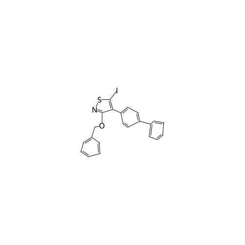 Ic1snc(OCc2ccccc2)c1-c1ccc(-c2ccccc2)cc1